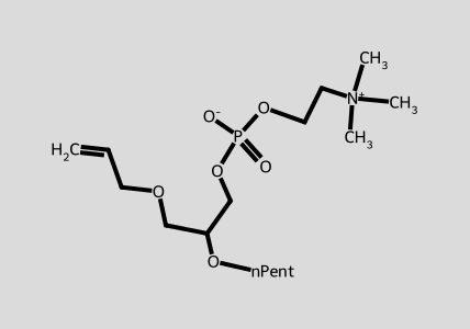 C=CCOCC(COP(=O)([O-])OCC[N+](C)(C)C)OCCCCC